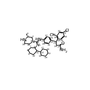 C[C@H]1CN(/C(=N\C2CCCCC2C2CCCCC2)Nc2ccc(C(CC(N)=O)c3ccc(Cl)cc3Cl)cc2)CCN1